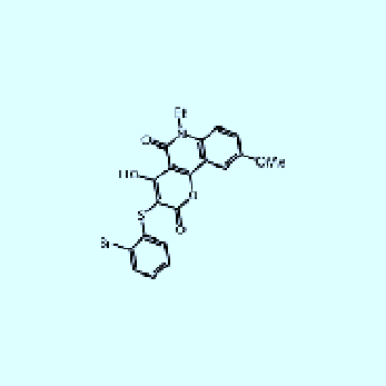 CCn1c(=O)c2c(O)c(Sc3ccccc3Br)c(=O)oc2c2cc(OC)ccc21